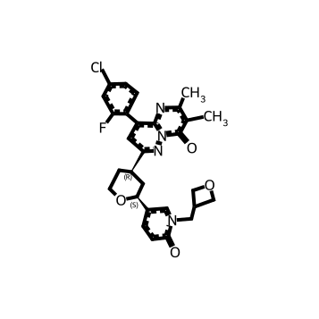 Cc1nc2c(-c3ccc(Cl)cc3F)cc([C@@H]3CCO[C@H](c4ccc(=O)n(CC5COC5)c4)C3)nn2c(=O)c1C